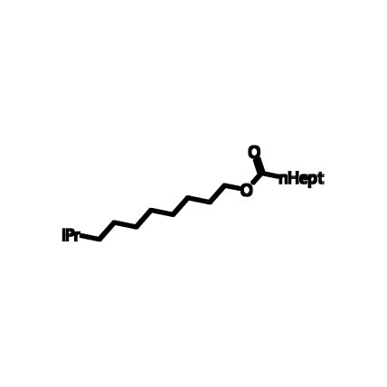 CCCCCCCC(=O)OCCCCCCCCC(C)C